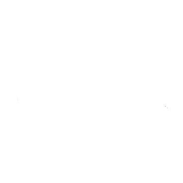 COOCc1ccc(Oc2ccc(C#N)cc2)cc1